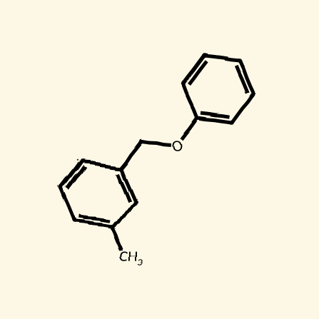 Cc1cc[c]c(COc2ccccc2)c1